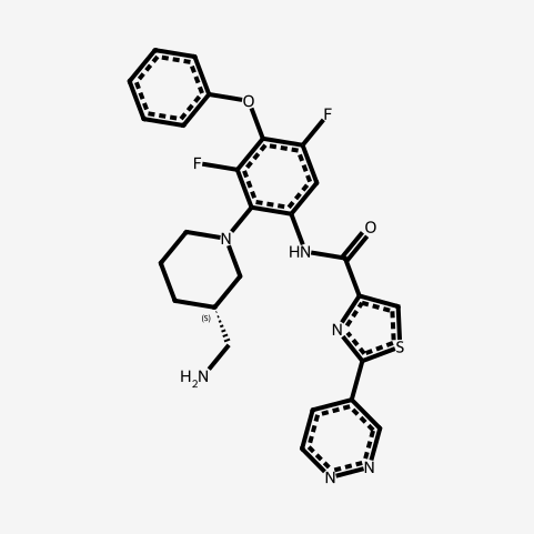 NC[C@@H]1CCCN(c2c(NC(=O)c3csc(-c4ccnnc4)n3)cc(F)c(Oc3ccccc3)c2F)C1